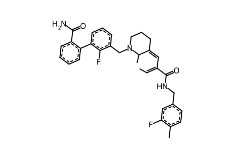 C/C=C(\C=C1\CCCN(Cc2cccc(-c3ccccc3C(N)=O)c2F)C1C)C(=O)NCc1ccc(C)c(F)c1